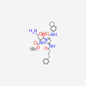 CC(C)(C)OC(=O)N[C@@H](CC(O)CN)C(=O)N1C[C@H](NC(=O)CCCc2ccccc2)C[C@H]1C(=O)Nc1ccc2c(c1)CCC2